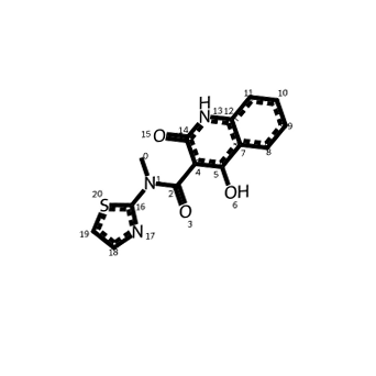 CN(C(=O)c1c(O)c2ccccc2[nH]c1=O)c1nccs1